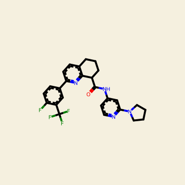 O=C(Nc1ccnc(N2CCCC2)c1)C1CCCc2ccc(-c3ccc(F)c(C(F)(F)F)c3)nc21